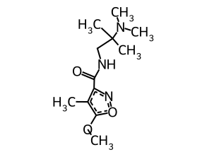 COc1onc(C(=O)NCC(C)(C)N(C)C)c1C